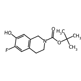 CC(C)(C)OC(=O)N1CCc2cc(F)c(O)cc2C1